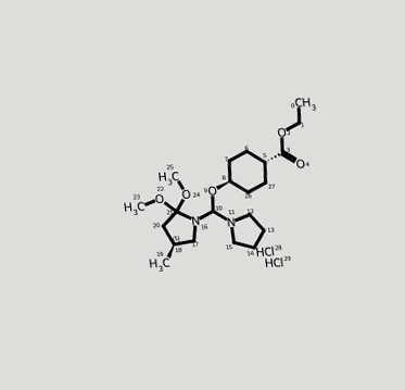 CCOC(=O)[C@H]1CC[C@H](OC(N2CCCC2)N2C[C@@H](C)CC2(OC)OC)CC1.Cl.Cl